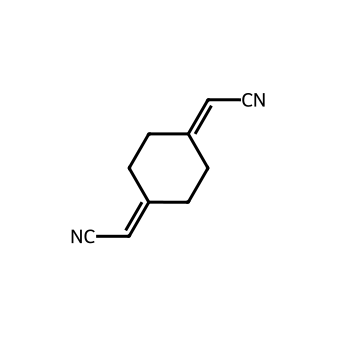 N#CC=C1CCC(=CC#N)CC1